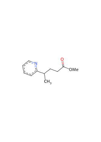 COC(=O)CCC(C)c1ccccn1